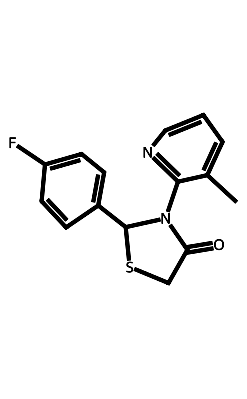 Cc1cccnc1N1C(=O)CSC1c1ccc(F)cc1